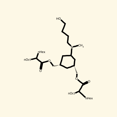 CCCCCCCCC(CCCCCC)C(=O)OC[C@@H]1CC(N(C)CCCCO)C[C@H](COC(=O)C(CCCCCC)CCCCCCCC)C1